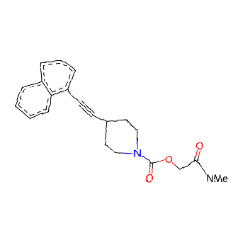 CNC(=O)COC(=O)N1CCC(C#Cc2cccc3ccccc23)CC1